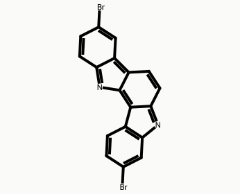 Brc1ccc2c(c1)N=c1ccc3c(c1-2)N=c1ccc(Br)cc1=3